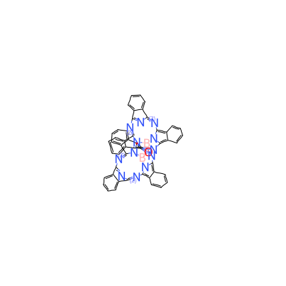 c1ccc2c(c1)C1=NC/2=N\c2c3ccccc3c3n2B(OB2n4c5c6ccccc6c4/N=C4N=C(/N=c6/c7ccccc7c(n62)=N5)c2ccccc2\4)n2c(c4ccccc4/c2=N/1)=N3